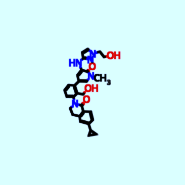 Cn1cc(-c2cccc(N3CCc4cc(C5CC5)ccc4C3=O)c2CO)cc(Nc2ccn(CCO)n2)c1=O